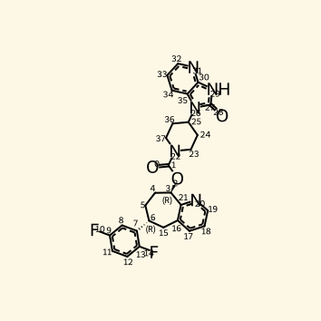 O=C(O[C@@H]1CC[C@@H](c2cc(F)ccc2F)Cc2cccnc21)N1CCC(n2c(=O)[nH]c3ncccc32)CC1